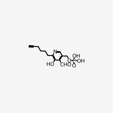 C#CCCCCc1ncc(COP(=O)(O)O)c(C=O)c1O